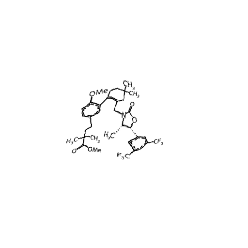 COC(=O)C(C)(C)CCc1ccc(OC)c(C2=C(CN3C(=O)O[C@H](c4cc(C(F)(F)F)cc(C(F)(F)F)c4)[C@@H]3C)CC(C)(C)CC2)c1